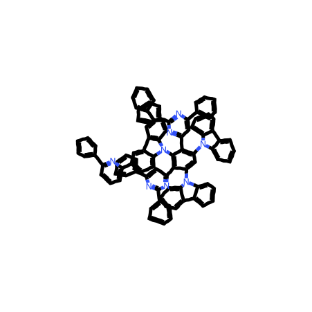 c1ccc(-c2ccc3c(c2)c2cc(-c4cccc(-c5ccccc5)n4)ccc2n3-c2c(-c3cc(-c4ccccc4)nc(-c4ccccc4)n3)c(-n3c4ccccc4c4ccccc43)cc(-n3c4ccccc4c4ccccc43)c2-c2cc(-c3ccccc3)nc(-c3ccccc3)n2)cc1